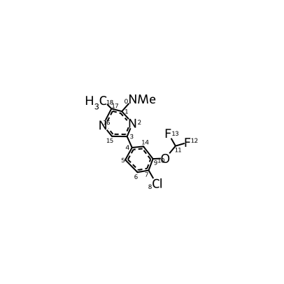 CNc1nc(-c2ccc(Cl)c(OC(F)F)c2)cnc1C